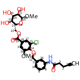 C#CCCC(=O)Nc1cccc(COc2c(Cl)cc(C(=O)OC[C@H]3O[C@H](OC)[C@H](O)[C@@H](O)[C@@H]3O)cc2OC)c1